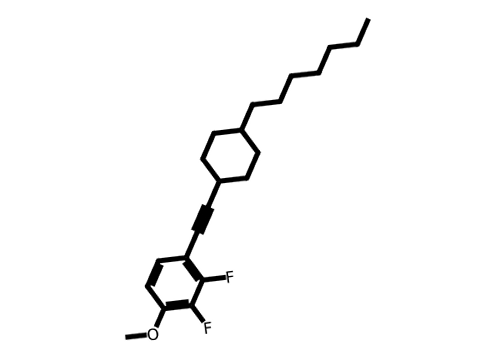 CCCCCCCC1CCC(C#Cc2ccc(OC)c(F)c2F)CC1